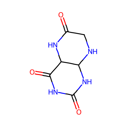 O=C1CNC2NC(=O)NC(=O)C2N1